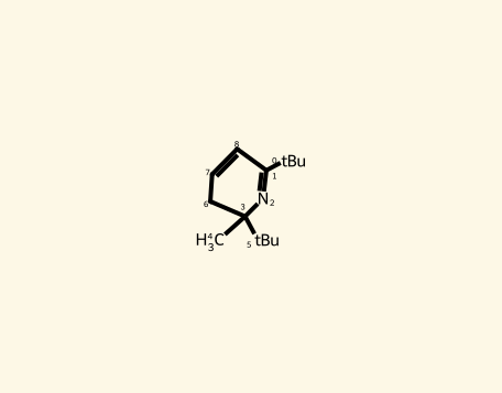 CC(C)(C)C1=NC(C)(C(C)(C)C)CC=C1